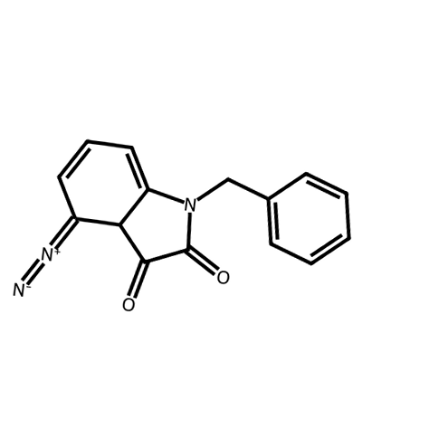 [N-]=[N+]=C1C=CC=C2C1C(=O)C(=O)N2Cc1ccccc1